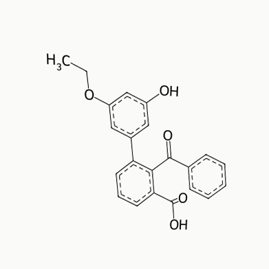 CCOc1cc(O)cc(-c2cccc(C(=O)O)c2C(=O)c2ccccc2)c1